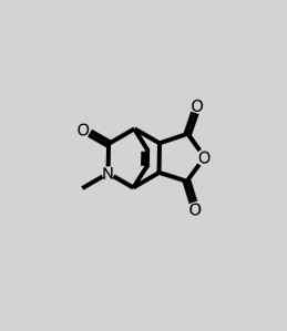 CN1C(=O)C2C=CC1C1C(=O)OC(=O)C21